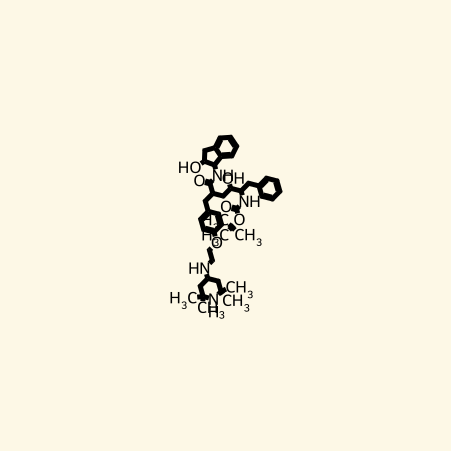 CC1(C)CC(NCCOc2ccc(CC(CC(O)C(Cc3ccccc3)NC(=O)OC(C)(C)C)C(=O)NC3c4ccccc4CC3O)cc2)CC(C)(C)N1